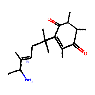 CC1=C(C(C)(C)C/C=C(\C)C(C)N)C(=O)C(C)C(C)C1=O